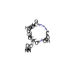 CO[C@@H]1C[C@H](C[C@@H](C)[C@@H]2CC(=O)[C@H](C)/C=C(\C)[C@@H](O)[C@@H](OC)C(=O)[C@H](C)C[C@H](C)/C=C/C=C/C=C(\C)[C@@H](C=O)C[C@@H]3CC[C@@H](C)[C@@](O)(O3)C(=O)C(=O)N3CCCC[C@H]3C(=O)C2)CC[C@@H]1n1ncnn1